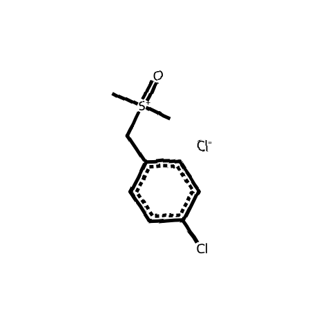 C[S+](C)(=O)Cc1ccc(Cl)cc1.[Cl-]